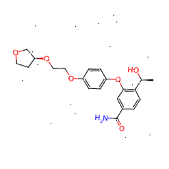 C[C@H](O)c1ccc(C(N)=O)cc1Oc1ccc(OCCO[C@H]2CCOC2)cc1